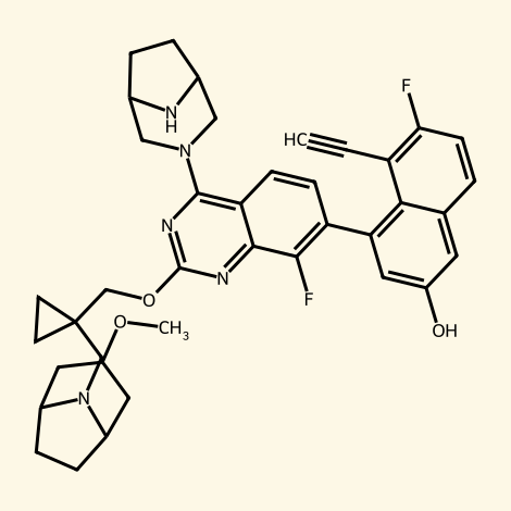 C#Cc1c(F)ccc2cc(O)cc(-c3ccc4c(N5CC6CCC(C5)N6)nc(OCC5(CN6C7CCC6CC(OC)C7)CC5)nc4c3F)c12